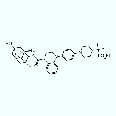 CCOC(=O)C(C)(C)N1CCN(c2ccc(N3CCN(C(=O)NC4[C@@H]5CC6C[C@H]4CC(O)(C6)C5)c4ccccc43)cc2)CC1